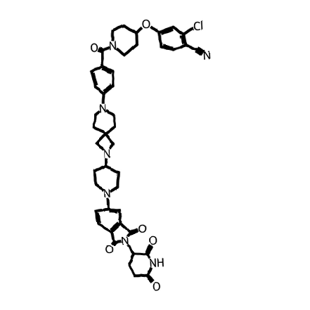 N#Cc1ccc(OC2CCN(C(=O)c3ccc(N4CCC5(CC4)CN(C4CCN(c6ccc7c(c6)C(=O)N(C6CCC(=O)NC6=O)C7=O)CC4)C5)cc3)CC2)cc1Cl